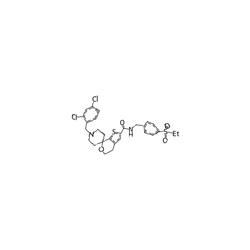 CCS(=O)(=O)c1ccc(CNC(=O)c2cc3c(s2)C2(CCN(Cc4ccc(Cl)cc4Cl)CC2)OCC3)cc1